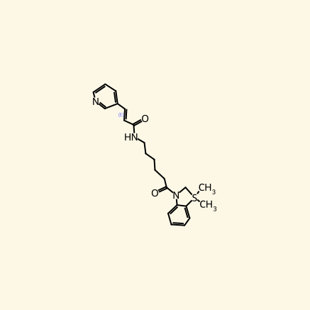 CS1(C)CN(C(=O)CCCCCNC(=O)/C=C/c2cccnc2)c2ccccc21